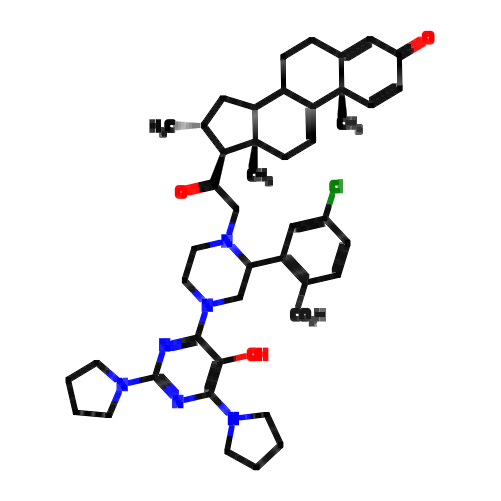 C[C@@H]1CC2C3CCC4=CC(=O)C=C[C@]4(C)C3=CC[C@]2(C)[C@H]1C(=O)CN1CCN(c2nc(N3CCCC3)nc(N3CCCC3)c2O)CC1c1cc(Cl)ccc1C(=O)O